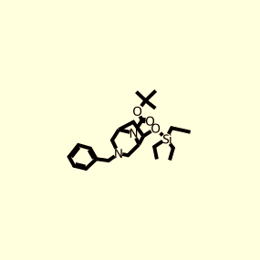 CC[Si](CC)(CC)OC1CC2CN(Cc3ccccc3)CC1N2C(=O)OC(C)(C)C